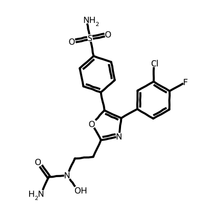 NC(=O)N(O)CCc1nc(-c2ccc(F)c(Cl)c2)c(-c2ccc(S(N)(=O)=O)cc2)o1